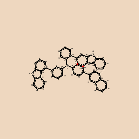 c1cc(-c2cccc3sc4ccccc4c23)cc(N(c2ccc(-c3ccc4ccccc4c3)cc2)c2ccccc2-c2ccc3c(c2)oc2ccccc23)c1